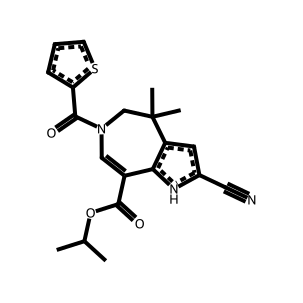 CC(C)OC(=O)C1=CN(C(=O)c2cccs2)CC(C)(C)c2cc(C#N)[nH]c21